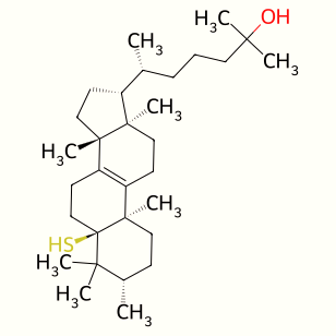 C[C@H](CCCC(C)(C)O)[C@H]1CC[C@@]2(C)C3=C(CC[C@]12C)[C@@]1(C)CC[C@H](C)C(C)(C)[C@]1(S)CC3